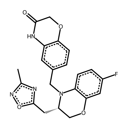 Cc1noc(C[C@H]2COc3cc(F)ccc3N2Cc2ccc3c(c2)NC(=O)CO3)n1